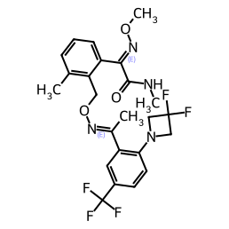 CNC(=O)/C(=N/OC)c1cccc(C)c1CO/N=C(\C)c1cc(C(F)(F)F)ccc1N1CC(F)(F)C1